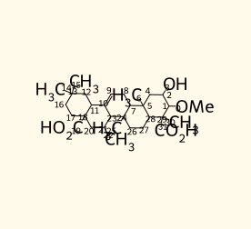 COC1C(O)CC2(C)C3CC=C4C5CC(C)(C)CCC5(C(=O)O)CC(C)C4C3(C)CCC2C1(C)C(=O)O